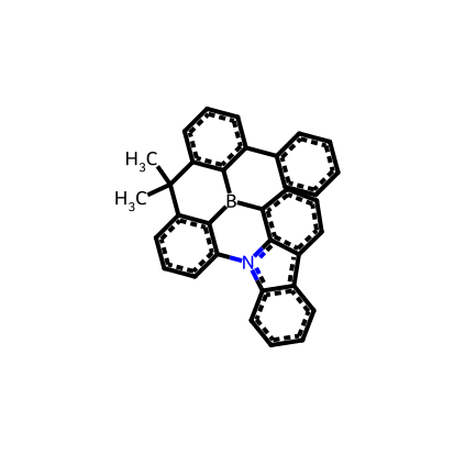 CC1(C)c2cccc(-c3ccccc3)c2B2c3c(cccc31)-n1c3ccccc3c3cccc2c31